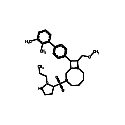 CCCN1NCCC1S(=O)(=O)N1CCCCN2C(COC)C(c3ccc(-c4cccc(C)c4C)cc3)C2C1